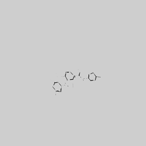 COc1ccc(C(=O)Nc2ccc(F)cc2)cc1Nc1cc(C)cc(C)c1